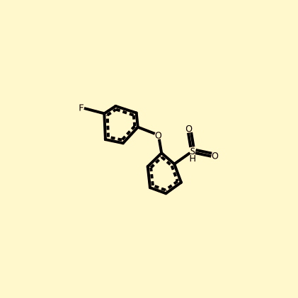 O=[SH](=O)c1ccccc1Oc1ccc(F)cc1